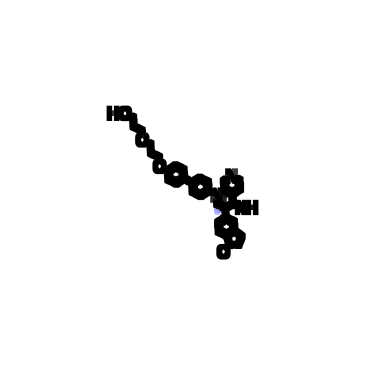 N=C(/C(=C\Nc1ccc(-c2ccc(OCCCOCCCO)cc2)cc1)c1ccc2c(c1)CCC2=O)c1ccncc1